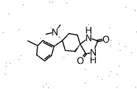 CC1C=C([C@]2(N(C)C)CC[C@@]3(CC2)NC(=O)NC3=O)C=CC1